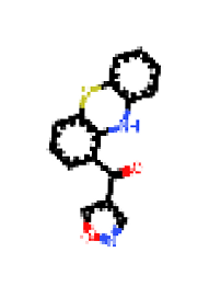 O=C(c1[c]noc1)c1cccc2c1Nc1ccccc1S2